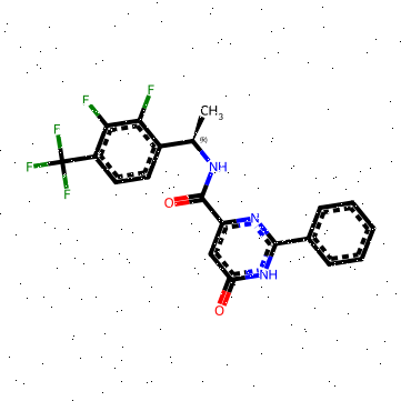 C[C@@H](NC(=O)c1cc(=O)[nH]c(-c2ccccc2)n1)c1ccc(C(F)(F)F)c(F)c1F